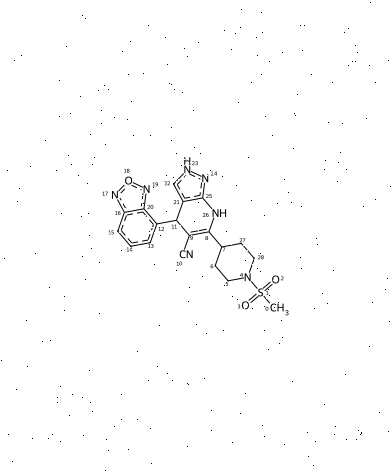 CS(=O)(=O)N1CCC(C2=C(C#N)C(c3cccc4nonc34)c3c[nH]nc3N2)CC1